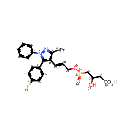 CC(C)c1nn(-c2ccccc2)c(-c2ccc(F)cc2)c1/C=C/CO[PH](=O)CC(O)CC(=O)O